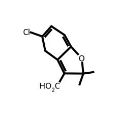 CC1(C)OC2=CC=C(Cl)CC2=C1C(=O)O